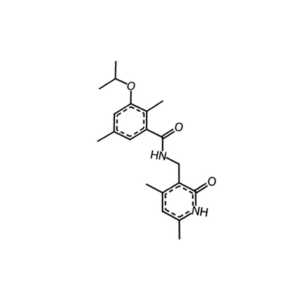 Cc1cc(OC(C)C)c(C)c(C(=O)NCc2c(C)cc(C)[nH]c2=O)c1